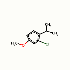 COc1ccc(C(C)C)c(Cl)c1